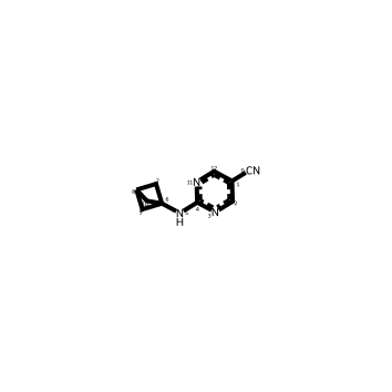 N#Cc1cnc(NC23CC(C2)C3)nc1